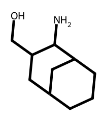 NC1C(CO)CC2CCCC1C2